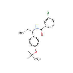 COCC(NC(=O)c1cccc(Cl)c1)c1ccc(OC(C)(C)C(=O)O)cc1